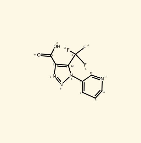 O=C(O)c1nnn(-c2cccnc2)c1C(F)(F)F